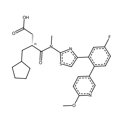 COc1ccc(-c2ccc(F)cc2-c2csc(N(C)C(=O)[C@@H](CC(=O)O)CC3CCCC3)n2)cn1